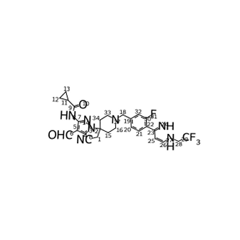 N#CCC1(n2cc(C=O)c(NC(=O)C3CC3)n2)CCN(Cc2ccc(C(=N)/C=C\NCC(F)(F)F)c(F)c2)CC1